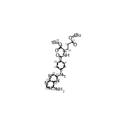 CN(c1ccc(C(=O)N[C@H](CCC(=O)OC(C)(C)C)C(=O)OC(C)(C)C)cc1)c1cnc2ncnc(N)c2n1